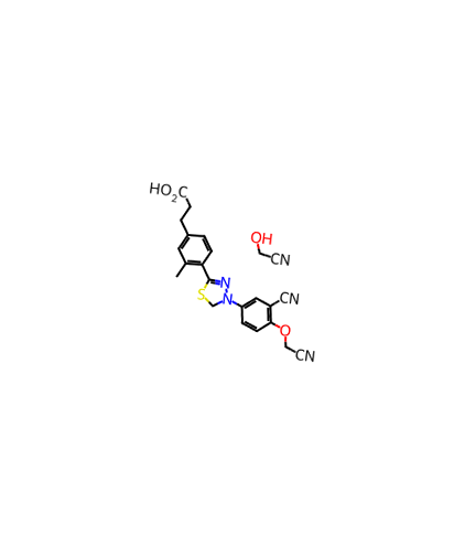 Cc1cc(CCC(=O)O)ccc1C1=NN(c2ccc(OCC#N)c(C#N)c2)CS1.N#CCO